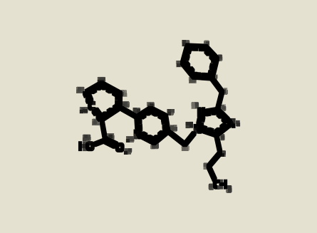 CCCc1nc(Cc2ccccc2)nn1Cc1ccc(-c2ccccc2C(=O)O)nc1